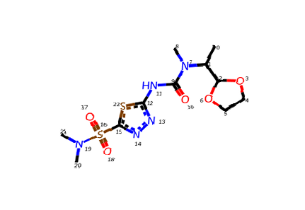 CC(C1OCCO1)N(C)C(=O)Nc1nnc(S(=O)(=O)N(C)C)s1